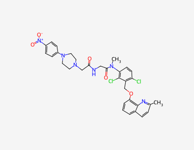 Cc1ccc2cccc(OCc3c(Cl)ccc(N(C)C(=O)CNC(=O)CN4CCN(c5ccc([N+](=O)[O-])cc5)CC4)c3Cl)c2n1